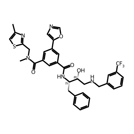 Cc1csc(CN(C)C(=O)c2cc(C(=O)N[C@@H](Cc3ccccc3)[C@H](O)CNCc3cccc(C(F)(F)F)c3)cc(-c3cnco3)c2)n1